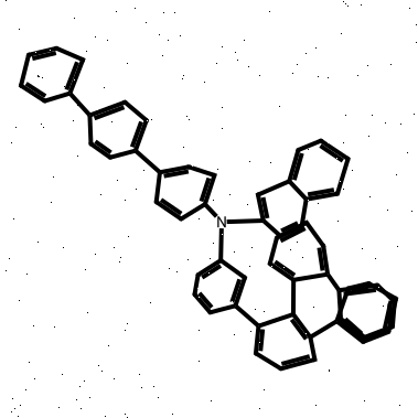 c1ccc(-c2ccc(-c3ccc(N(c4cccc(-c5cccc(-c6ccccc6)c5-c5ccccc5-c5ccccc5)c4)c4ccc5ccccc5c4)cc3)cc2)cc1